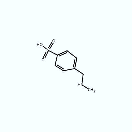 CNCc1ccc(S(=O)(=O)O)cc1